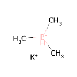 C[BH-](C)C.[K+]